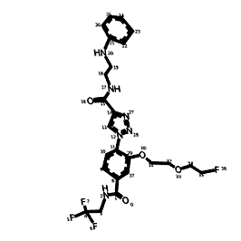 O=C(NCC(F)(F)F)c1ccc(-n2cc(C(=O)NCCNc3ccccc3)nn2)c(OCCOCCF)c1